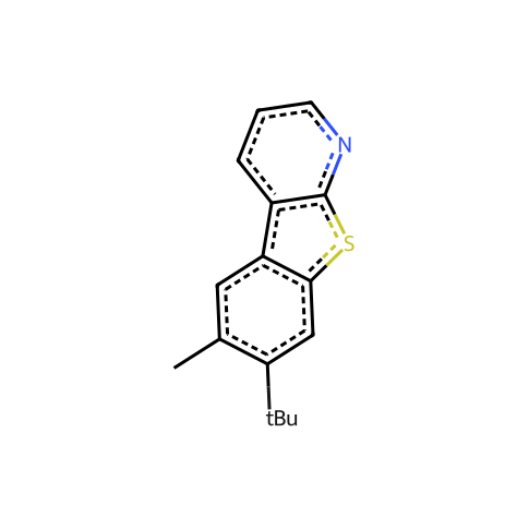 Cc1cc2c(cc1C(C)(C)C)sc1ncccc12